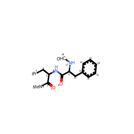 CNC(=O)C(CC(C)C)NC(=O)C(Cc1ccccc1)NC=O